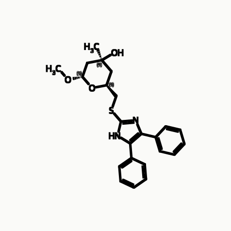 CO[C@@H]1C[C@@](C)(O)C[C@@H](CSc2nc(-c3ccccc3)c(-c3ccccc3)[nH]2)O1